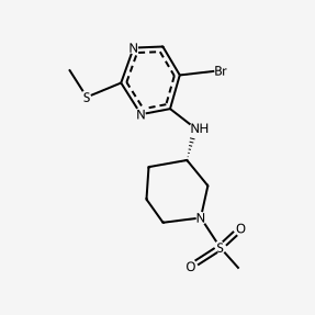 CSc1ncc(Br)c(N[C@H]2CCCN(S(C)(=O)=O)C2)n1